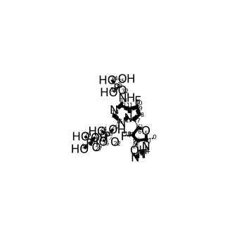 C[C@@]1(N=[N+]=[N-])O[C@@H](c2cc(F)c3c(N)ncnn23)[C@H](F)[C@@H]1O.O=P(O)(O)O.O=P(O)(O)O.O=P(O)(O)O